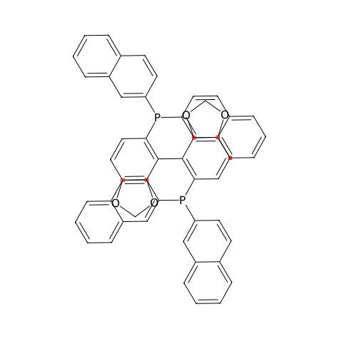 c1ccc2cc(P(c3ccc4ccccc4c3)c3ccc4c(c3-c3c(P(c5ccc6ccccc6c5)c5ccc6ccccc6c5)ccc5c3OCO5)OCO4)ccc2c1